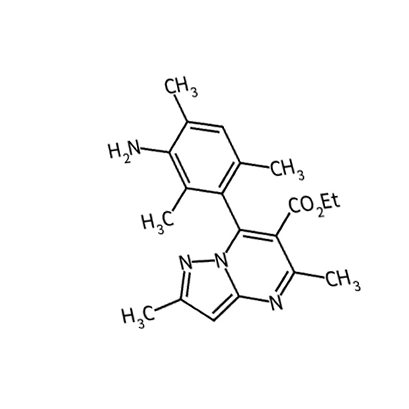 CCOC(=O)c1c(C)nc2cc(C)nn2c1-c1c(C)cc(C)c(N)c1C